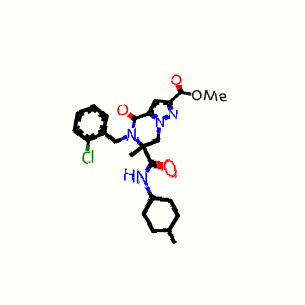 COC(=O)c1cc2n(n1)CC(C)(C(=O)NC1CCC(C)CC1)N(Cc1ccccc1Cl)C2=O